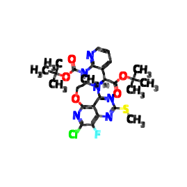 CSc1nc2c3c(nc(Cl)c(F)c3n1)OCCN2[C@H](C(=O)OC(C)(C)C)c1cccnc1N(C)C(=O)OC(C)(C)C